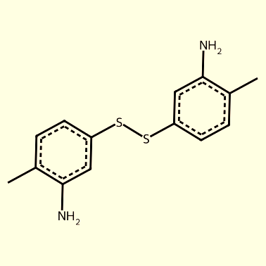 Cc1ccc(SSc2ccc(C)c(N)c2)cc1N